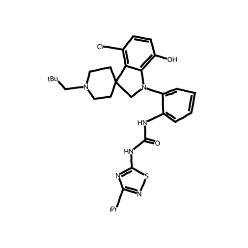 CC(C)c1nsc(NC(=O)Nc2ccccc2N2CC3(CCN(CC(C)(C)C)CC3)c3c(Cl)ccc(O)c32)n1